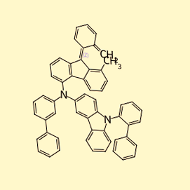 C=c1cccc/c1=C1\c2cccc(N(c3cccc(-c4ccccc4)c3)c3ccc4c(c3)c3ccccc3n4-c3ccccc3-c3ccccc3)c2-c2cccc(C)c21